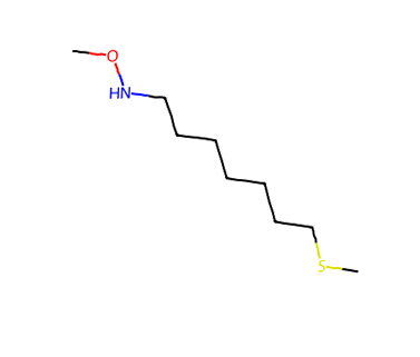 CONCCCCCCCSC